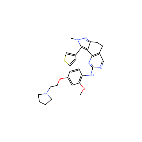 COc1cc(OCCN2CCCC2)ccc1Nc1ncc2c(n1)-c1c(nn(C)c1-c1ccsc1)CC2